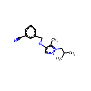 Cc1c([N]Cc2cccc(C#N)c2)cnn1CC(C)C